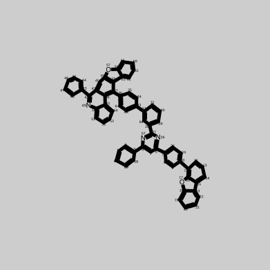 c1ccc(-c2cc(-c3ccc(-c4cccc5c4oc4ccccc45)cc3)nc(-c3cccc(-c4ccc(-c5c6c(cc7c(-c8ccccc8)nc8ccccc8c57)oc5ccccc56)cc4)c3)n2)cc1